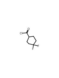 O=C(Cl)C1CCC(F)(F)CC1